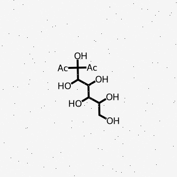 CC(=O)C(O)(C(C)=O)C(O)C(O)C(O)C(O)CO